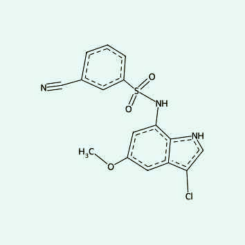 COc1cc(NS(=O)(=O)c2cccc(C#N)c2)c2[nH]cc(Cl)c2c1